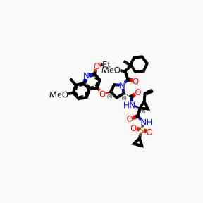 C=CC1C[C@]1(NC(=O)[C@@H]1C[C@@H](Oc2cc(OCC)nc3c(C)c(OC)ccc23)CN1C(=O)C(OC)C1(C)CCCCC1)C(=O)NS(=O)(=O)C1CC1